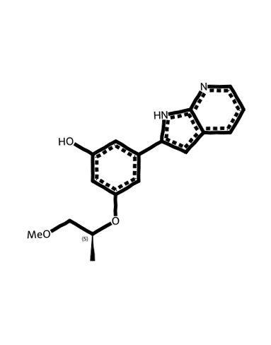 COC[C@H](C)Oc1cc(O)cc(-c2cc3cccnc3[nH]2)c1